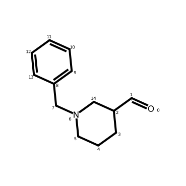 O=[C]C1CCCN(Cc2ccccc2)C1